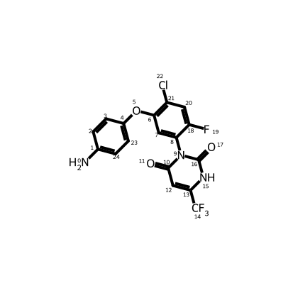 Nc1ccc(Oc2cc(-n3c(=O)cc(C(F)(F)F)[nH]c3=O)c(F)cc2Cl)cc1